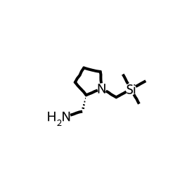 C[Si](C)(C)CN1CCC[C@H]1CN